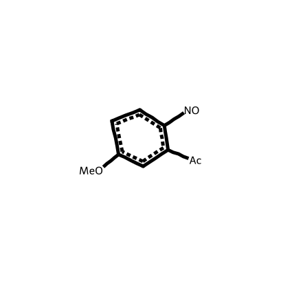 COc1ccc(N=O)c(C(C)=O)c1